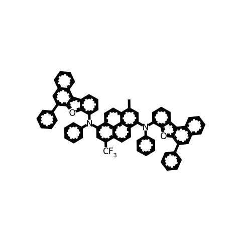 Cc1cc(N(c2ccccc2)c2cccc3c2oc2c(-c4ccccc4)cc4ccccc4c23)c2ccc3c(C(F)(F)F)cc(N(c4ccccc4)c4cccc5c4oc4c(-c6ccccc6)cc6ccccc6c45)c4ccc1c2c43